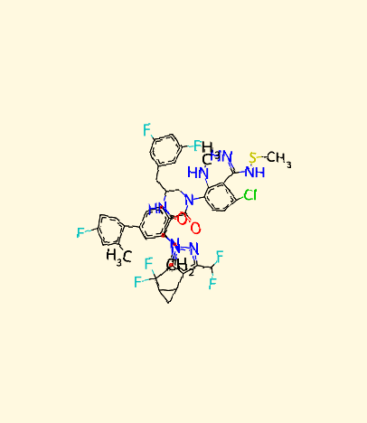 C=Nc1cc(-c2ccc(F)cc2C)ccc1C(=O)N(CC(Cc1cc(F)cc(F)c1)NC(=O)Cn1nc(C(F)F)c2c1C(F)(F)C1CC21)c1ccc(Cl)c(C(=N)NSC)c1NC